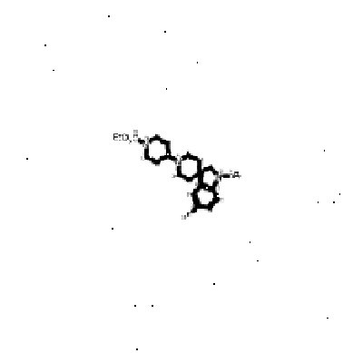 CCCN1CC2(CCN(C3CCN(C(=O)OCC)CC3)CC2)c2cc(F)ccc21